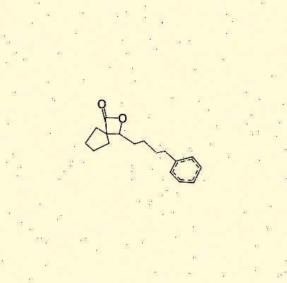 O=C1OC(CCCCc2ccccc2)C12CCCC2